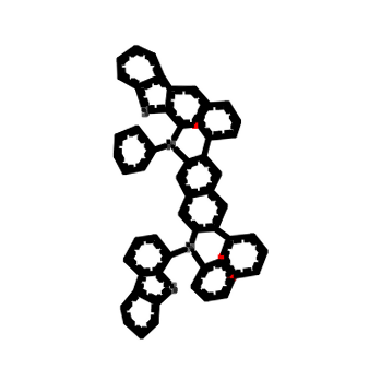 c1ccc(-c2cc3cc(-c4ccccc4)c(N(c4ccccc4)c4cccc5c4sc4ccccc45)cc3cc2N(c2ccccc2)c2cccc3c2sc2ccccc23)cc1